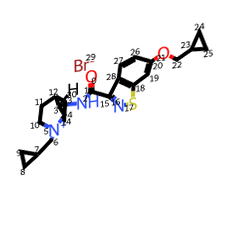 O=C(N[C@@H]1C[N+]2(CC3CC3)CCC1CC2)c1nsc2cc(OCC3CC3)ccc12.[Br-]